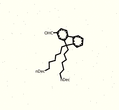 CCCCCCCCCCCCCCCCC1(CCCCCCCCCCCCCCCC)c2ccccc2-c2ccc(C=O)cc21